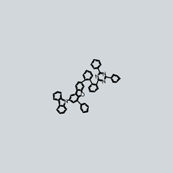 c1ccc(-c2nc(-c3ccccc3)nc(-c3ccccc3-c3ccccc3-c3ccc4c(c3)oc3c(-c5ccccc5)cc(-n5c6ccccc6c6ccccc65)cc34)n2)cc1